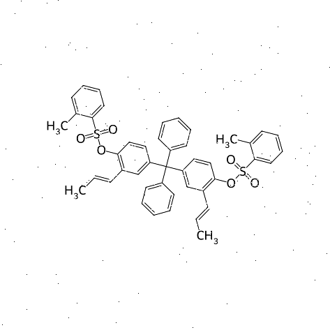 CC=Cc1cc(C(c2ccccc2)(c2ccccc2)c2ccc(OS(=O)(=O)c3ccccc3C)c(C=CC)c2)ccc1OS(=O)(=O)c1ccccc1C